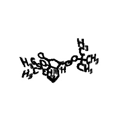 CC(C)(C)OO[C@@H]1CC(=O)C2(O[Si](C)(C)C)CC=CC[C@H]12